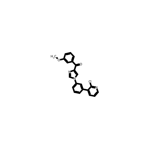 COc1cccc(C(=O)c2cn(-c3cccc(-c4cccnc4Cl)c3)cn2)c1